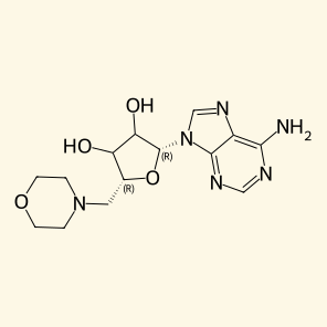 Nc1ncnc2c1ncn2[C@@H]1O[C@H](CN2CCOCC2)C(O)C1O